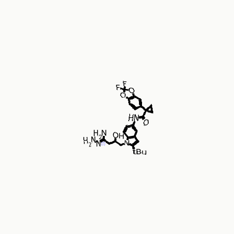 CC(C)(C)c1cc2cc(NC(=O)C3(c4ccc5c(c4)OC(F)(F)O5)CC3)ccc2n1CC(O)C/C(N)=N/N